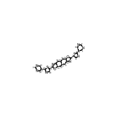 c1ncc(-c2ncc(-c3nc4cc5cc6oc(-c7cnc(-c8cncnc8)s7)nc6cc5cc4o3)s2)cn1